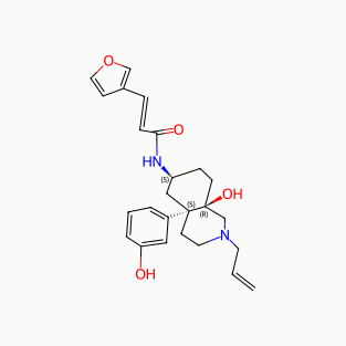 C=CCN1CC[C@@]2(c3cccc(O)c3)C[C@@H](NC(=O)C=Cc3ccoc3)CC[C@]2(O)C1